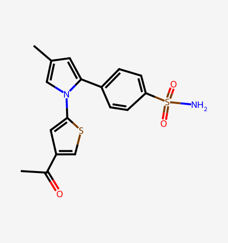 CC(=O)c1csc(-n2cc(C)cc2-c2ccc(S(N)(=O)=O)cc2)c1